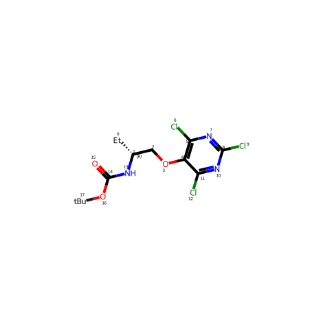 CC[C@H](COc1c(Cl)nc(Cl)nc1Cl)NC(=O)OC(C)(C)C